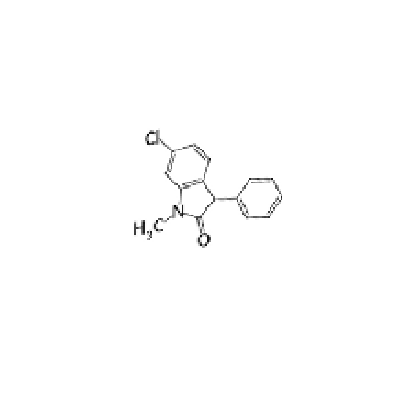 CN1C(=O)C(c2ccccc2)c2ccc(Cl)cc21